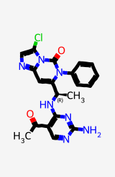 CC(=O)c1cnc(N)nc1N[C@H](C)c1cc2ncc(Cl)n2c(=O)n1-c1ccccc1